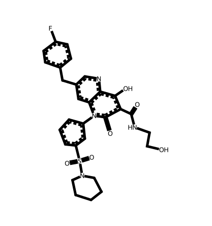 O=C(NCCO)c1c(O)c2ncc(Cc3ccc(F)cc3)cc2n(-c2cccc(S(=O)(=O)N3CCCCC3)c2)c1=O